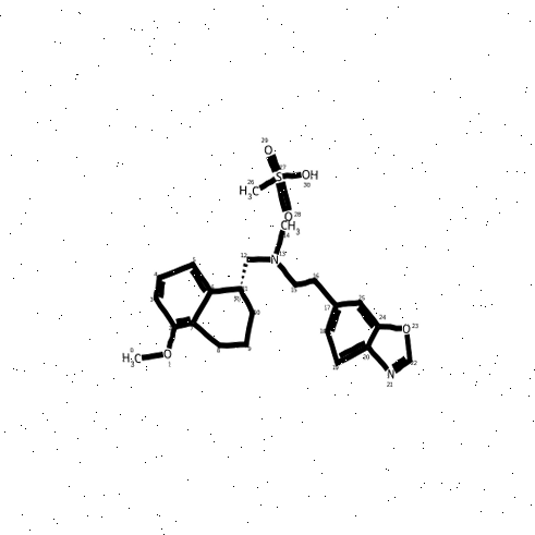 COc1cccc2c1CCC[C@H]2CN(C)CCc1ccc2ncoc2c1.CS(=O)(=O)O